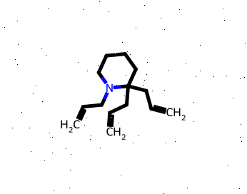 C=CCN1CCCCC1(CC=C)CC=C